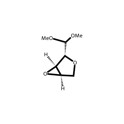 COC(OC)[C@@H]1OC[C@H]2O[C@H]21